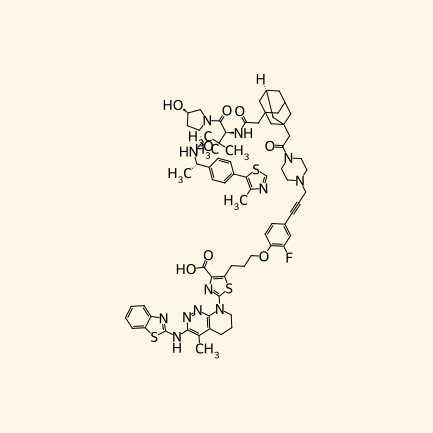 Cc1ncsc1-c1ccc([C@H](C)NC(=O)[C@@H]2C[C@@H](O)CN2C(=O)[C@@H](NC(=O)CC23CC4C[C@H](C2)CC(CC(=O)N2CCN(CC#Cc5ccc(OCCCc6sc(N7CCCc8c7nnc(Nc7nc9ccccc9s7)c8C)nc6C(=O)O)c(F)c5)CC2)(C4)C3)C(C)(C)C)cc1